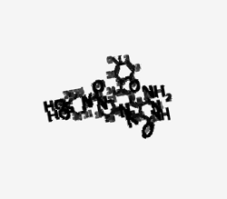 Cc1ccc2oc(-c3c4c(N)n[nH]c(=O)c4nn3C3CCN(C(=O)N4CCS(O)(O)CC4)C3)c(C)c2c1